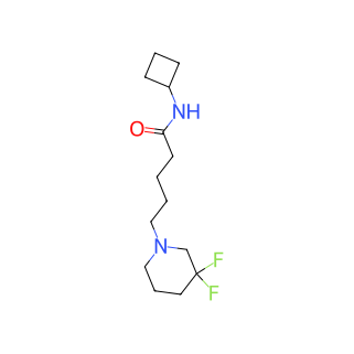 O=C(CCCCN1CCCC(F)(F)C1)NC1CCC1